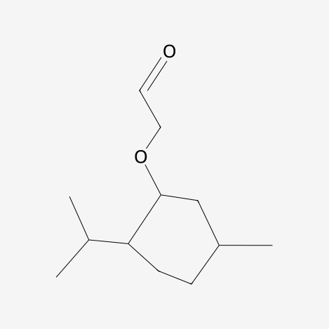 CC1CCC(C(C)C)C(OCC=O)C1